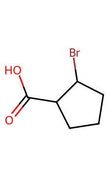 O=C(O)C1CCCC1Br